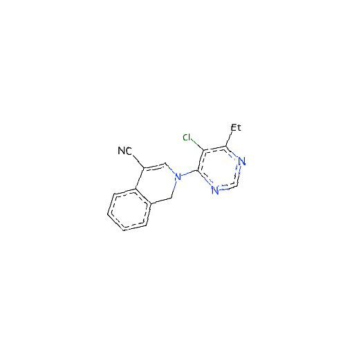 CCc1ncnc(N2C=C(C#N)c3ccccc3C2)c1Cl